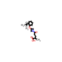 C=C(CCC(=O)N1CC(Oc2ccccc2C(C)(C)C)C1)C(=O)O